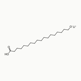 O=C(O)CCCCCCCCCCCCCCCCC[O-].[Li+]